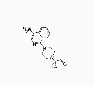 Nc1cnc(N2CCN(C3(C=O)CC3)CC2)c2ccccc12